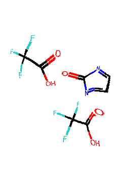 O=C(O)C(F)(F)F.O=C(O)C(F)(F)F.O=C1N=CC=N1